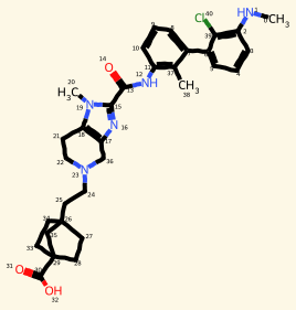 CNc1cccc(-c2cccc(NC(=O)c3nc4c(n3C)CCN(CCC35CCC(C(=O)O)(CC3)C5)C4)c2C)c1Cl